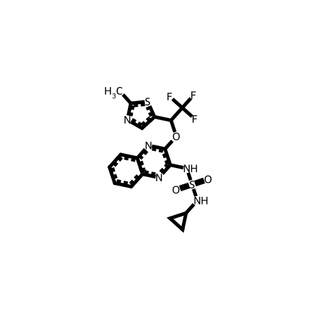 Cc1ncc(C(Oc2nc3ccccc3nc2NS(=O)(=O)NC2CC2)C(F)(F)F)s1